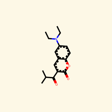 CCN(CC)c1ccc2oc(=O)c(C(=O)C(C)C)cc2c1